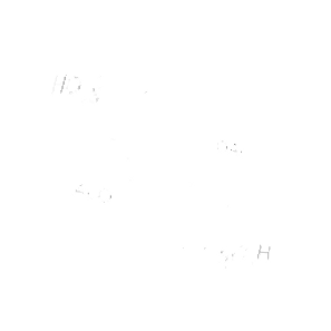 CC(=O)Oc1c2ccc(S(=O)(=O)O)cc2c(OC(C)=O)c2ccc(S(=O)(=O)O)cc12